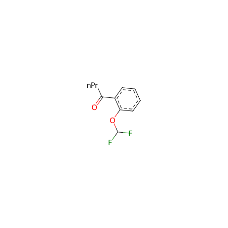 CCCC(=O)c1ccccc1OC(F)F